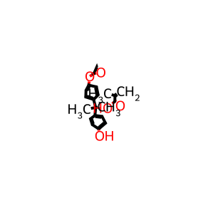 C=C(C)C(=O)O.CC(C)(c1ccc(O)cc1)c1ccc(OC2CO2)cc1